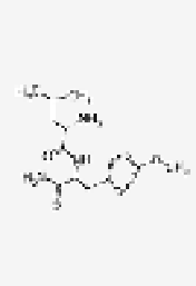 COc1ccc(C[C@H](NC(=O)[C@@H](N)CC(C)C)C(N)=O)cc1